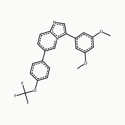 COc1cc(OC)cc(-c2cnc3ccc(-c4ccc(OC(F)(F)F)cc4)cn23)c1